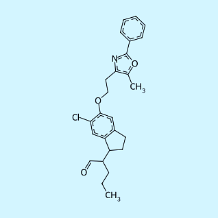 CCCC(C=O)C1CCc2cc(OCCc3nc(-c4ccccc4)oc3C)c(Cl)cc21